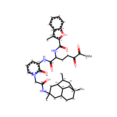 CNC(=O)C(=O)CCC(NC(=O)c1oc2ccccc2c1C)C(=O)Nc1cccn(CC(=O)NC2(C)CC3CC[C@H]4CC(C)C(C2)C3C4)c1=O